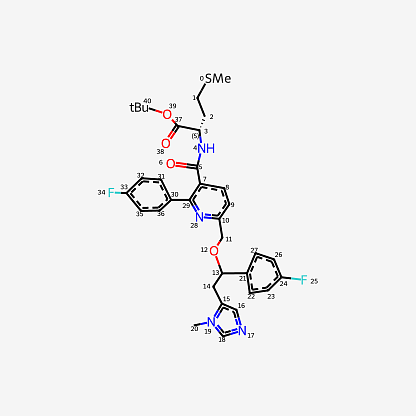 CSCC[C@H](NC(=O)c1ccc(COC(Cc2cncn2C)c2ccc(F)cc2)nc1-c1ccc(F)cc1)C(=O)OC(C)(C)C